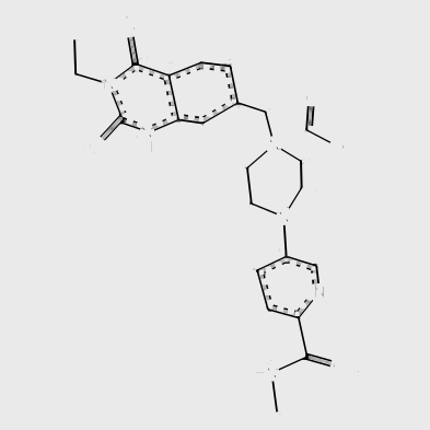 CCn1c(=O)[nH]c2cc(CN3CCN(c4ccc(C(=O)NC)nc4)CC3)ccc2c1=O.O=CO